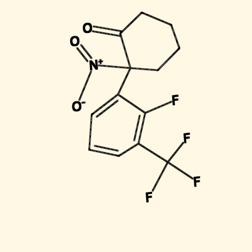 O=C1CCCCC1(c1cccc(C(F)(F)F)c1F)[N+](=O)[O-]